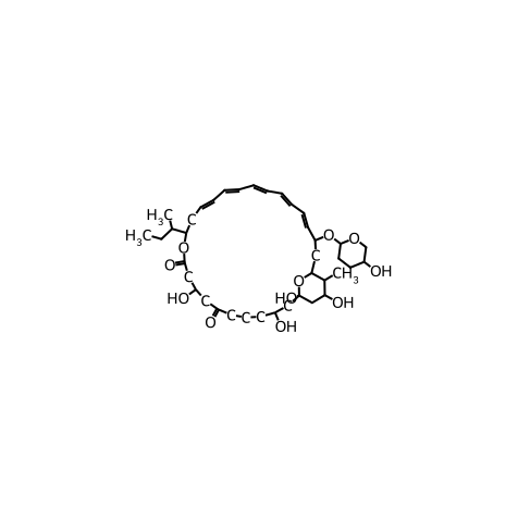 CCC(C)C1C/C=C/C=C/C=C/C=C/C=C/C(OC2CCC(O)CO2)CC2OC(O)(CC(O)CCCC(=O)CC(O)CC(=O)O1)CC(O)C2C